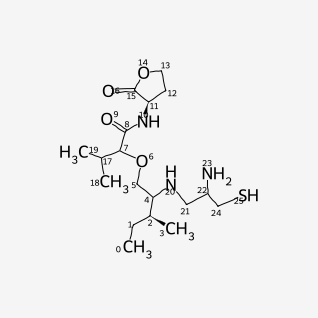 CC[C@H](C)C(COC(C(=O)N[C@@H]1CCOC1=O)C(C)C)NCC(N)CS